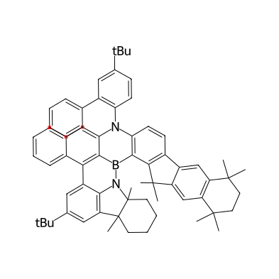 CC(C)(C)c1ccc(N2c3ccc4c(c3B3c5c2cc2ccccc2c5-c2cc(C(C)(C)C)cc5c2N3C2(C)CCCCC52C)C(C)(C)c2cc3c(cc2-4)C(C)(C)CCC3(C)C)c(-c2ccccc2)c1